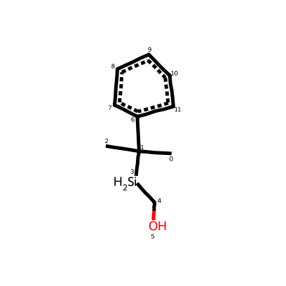 CC(C)([SiH2]CO)c1ccccc1